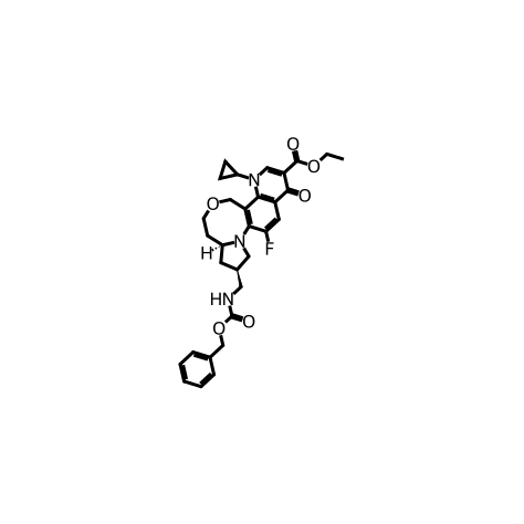 CCOC(=O)c1cn(C2CC2)c2c3c(c(F)cc2c1=O)N1C[C@@H](CNC(=O)OCc2ccccc2)C[C@H]1CCOC3